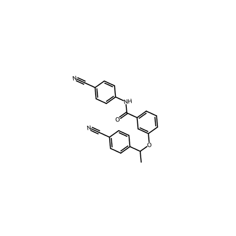 CC(Oc1cccc(C(=O)Nc2ccc(C#N)cc2)c1)c1ccc(C#N)cc1